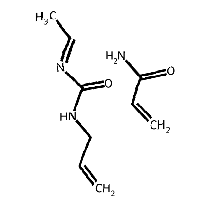 C=CC(N)=O.C=CCNC(=O)N=CC